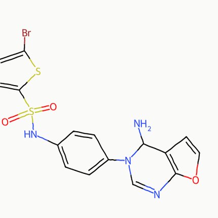 NC1c2ccoc2N=CN1c1ccc(NS(=O)(=O)c2ccc(Br)s2)cc1